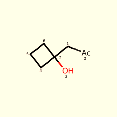 CC(=O)CC1(O)CCC1